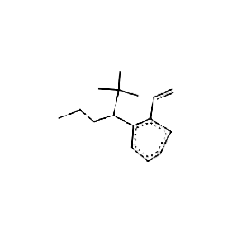 C=Cc1ccccc1C(CCC)C(C)(C)C